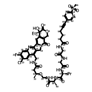 CC[C@@]1(O)C(=O)OCc2c1cc1n(c2=O)Cc2c-1nc1cc(F)c(Cl)cc1c2CNC(=O)C[C@H](C)OCNC(=O)[C@H](C)NC(=O)[C@@H](NC(=O)CNC(=O)CNC(=O)CCCC#Cc1cnc(S(C)(=O)=O)nc1)C(C)C